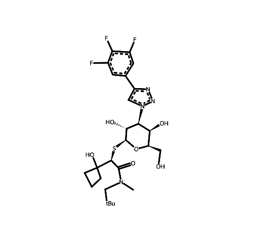 CN(CC(C)(C)C)C(=O)[C@H](S[C@@H]1O[C@H](CO)[C@H](O)[C@H](n2cc(-c3cc(F)c(F)c(F)c3)nn2)[C@H]1O)C1(O)CCC1